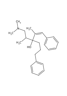 C/C(=C/c1ccccc1)C(O)(CCCc1ccccc1)C(C)CN(C)C